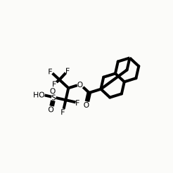 O=C(OC(C(F)(F)F)C(F)(F)S(=O)(=O)O)C12CCC3CCC(CC3C1)C2